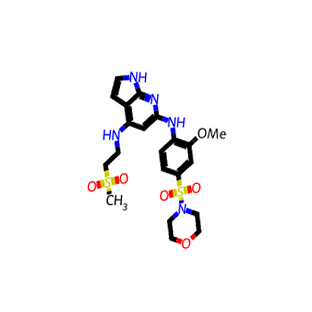 COc1cc(S(=O)(=O)N2CCOCC2)ccc1Nc1cc(NCCS(C)(=O)=O)c2cc[nH]c2n1